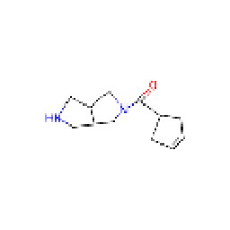 O=C(C1CC=CC1)N1CC2CNCC2C1